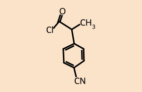 CC(C(=O)Cl)c1ccc(C#N)cc1